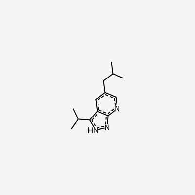 CC(C)Cc1cnc2n[nH]c(C(C)C)c2c1